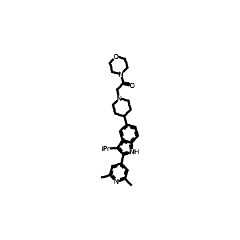 Cc1cc(-c2[nH]c3ccc(C4CCN(CC(=O)N5CCOCC5)CC4)cc3c2C(C)C)cc(C)n1